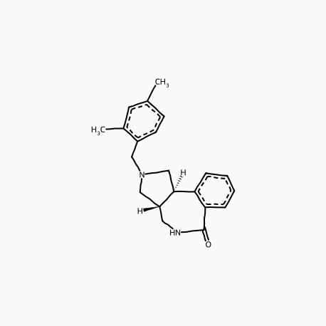 Cc1ccc(CN2C[C@H]3CNC(=O)c4ccccc4[C@@H]3C2)c(C)c1